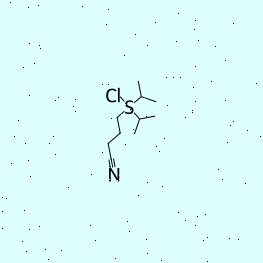 CC(C)S(Cl)(CCCC#N)C(C)C